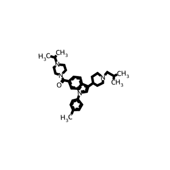 Cc1ccc(-n2cc(C3CCN(CC(C)C)CC3)c3ccc(C(=O)N4CCN(C(C)C)CC4)cc32)cc1